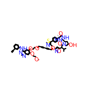 C#Cc1cccc(Nc2ncnc3cc(OCCOC)c(OCCOCC#CC#CCOc4cc(C(C(=O)N5CC(O)CC5C5NC(=O)[C@](C)(c6ccc(-c7scnc7C)cc6)N5)C(C)C)on4)cc23)c1